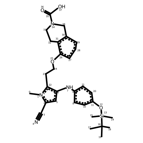 Cn1c(C#N)cc(Nc2ccc(O[Si](C)(C)C(C)(C)C)cc2)c1CCOc1cccc2c1CCN(C(=O)O)C2